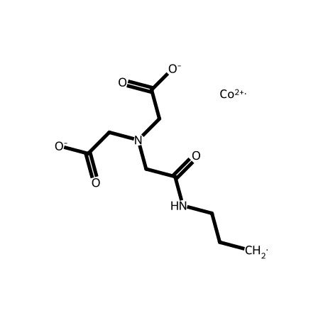 [CH2]CCNC(=O)CN(CC(=O)[O-])CC(=O)[O-].[Co+2]